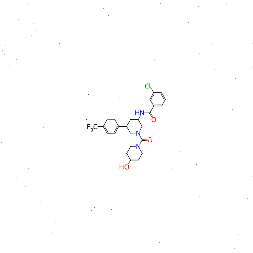 O=C(NC1CC(c2ccc(C(F)(F)F)cc2)CN(C(=O)N2CCC(O)CC2)C1)c1cccc(Cl)c1